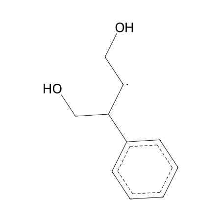 OC[CH]C(CO)c1ccccc1